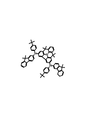 CC(C)(C)c1ccc(N(c2ccc3c(c2)C2=C(C=CCC2)C3(C)C)c2cc3c4c(c2)c2cc(N(c5ccc(C(C)(C)C)cc5)c5ccc6c(c5)C(C)(C)c5ccccc5-6)cc5c2n4-c2c(cccc2C5(C)C)C3(C)C)cc1